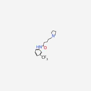 O=C(CCCCN1CCCC1)Nc1cccc(C(F)(F)F)c1